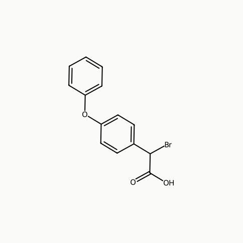 O=C(O)C(Br)c1ccc(Oc2ccccc2)cc1